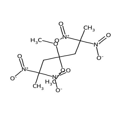 COC(CC(C)([N+](=O)[O-])[N+](=O)[O-])(CC(C)([N+](=O)[O-])[N+](=O)[O-])OC